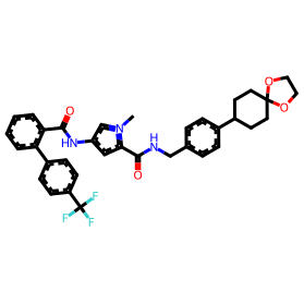 Cn1cc(NC(=O)c2ccccc2-c2ccc(C(F)(F)F)cc2)cc1C(=O)NCc1ccc(C2CCC3(CC2)OCCO3)cc1